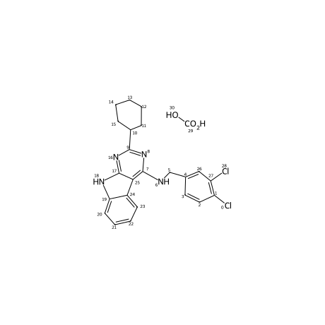 Clc1ccc(CNc2nc(C3CCCCC3)nc3[nH]c4ccccc4c23)cc1Cl.O=C(O)O